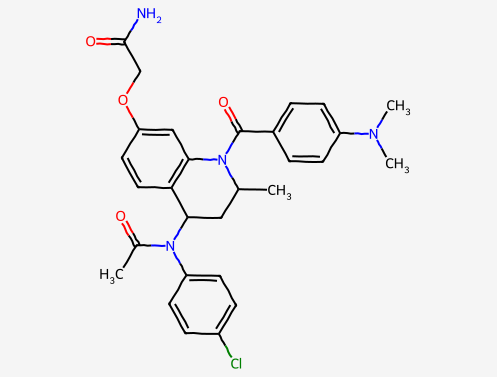 CC(=O)N(c1ccc(Cl)cc1)C1CC(C)N(C(=O)c2ccc(N(C)C)cc2)c2cc(OCC(N)=O)ccc21